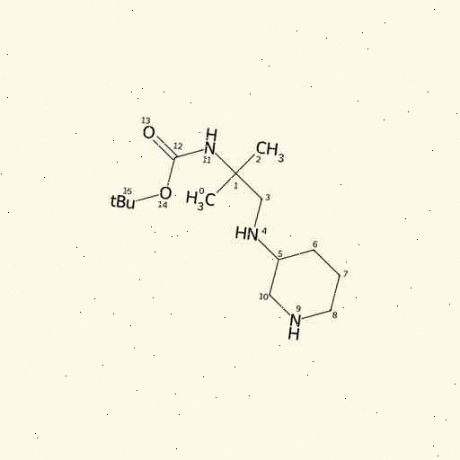 CC(C)(CNC1CCCNC1)NC(=O)OC(C)(C)C